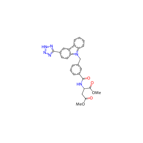 COC(=O)CC(NC(=O)c1cccc(Cn2c3ccccc3c3cc(-c4nn[nH]n4)ccc32)c1)C(=O)OC